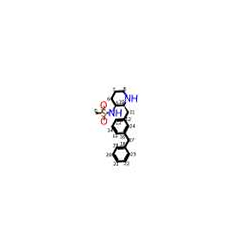 CS(=O)(=O)N[C@H]1CCCN[C@H]1Cc1cccc(Cc2ccccc2)c1